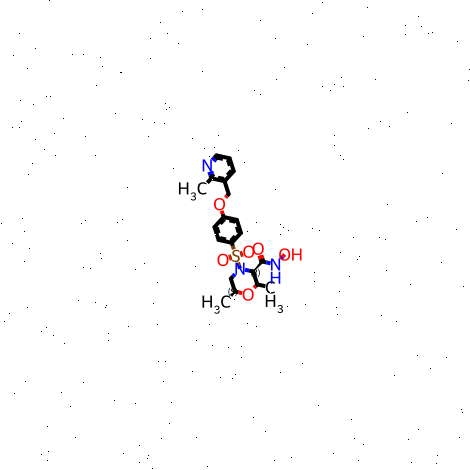 Cc1ncccc1COc1ccc(S(=O)(=O)N2C[C@H](C)OC(C)[C@@H]2C(=O)NO)cc1